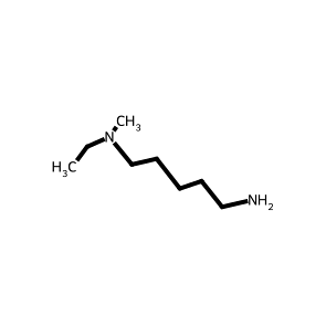 CCN(C)CCCCCN